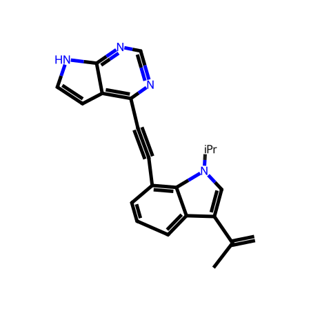 C=C(C)c1cn(C(C)C)c2c(C#Cc3ncnc4[nH]ccc34)cccc12